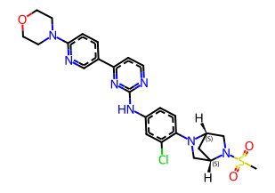 CS(=O)(=O)N1C[C@@H]2C[C@H]1CN2c1ccc(Nc2nccc(-c3ccc(N4CCOCC4)nc3)n2)cc1Cl